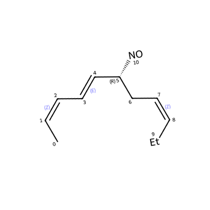 C/C=C\C=C\[C@@H](C/C=C\CC)N=O